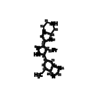 Cc1cc(-c2[nH]nc(-c3cn4c(n3)CNCC4)c2C(C)C)cn2ncnc12